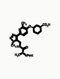 CCCCCN(C)C(=O)NCc1c(-c2ccc(O[C@H]3CCC[C@H](C(=O)O)C3)c(C)n2)nnn1C